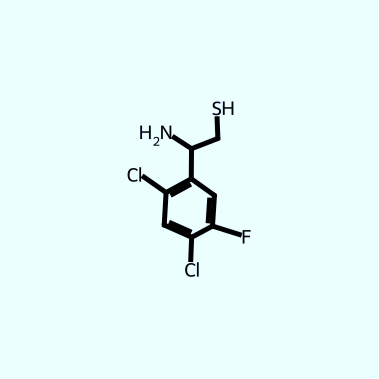 NC(CS)c1cc(F)c(Cl)cc1Cl